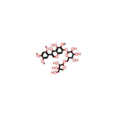 COc1cc(OC)c(-c2coc3cc(O[C@@H]4OC(COC5OCC(O)(CO)C5O)[C@@H](O)C(O)C4O)c(OC)c(O)c3c2=O)cc1OC